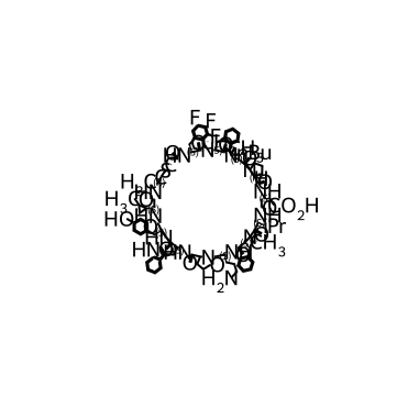 CCCC[C@H]1C(=O)N2CCC[C@@H]2C(=O)N[C@@H](CC(=O)O)C(=O)N[C@@H](C(C)C)C(=O)N(C)[C@@H](Cc2ccccc2)C(=O)N[C@@H](CCCN)C(=O)N2CCCC2C(=O)N[C@@H](Cc2c[nH]c3ccccc23)C(=O)N[C@@H](Cc2ccc(O)cc2)C(=O)N[C@@H](C2CC2C)C(=O)N[C@H](C)CSCC(=O)N[C@@H](Cc2cc(F)c(F)c(F)c2)C(=O)N(C)[C@@H](Cc2ccccc2)C(=O)N1C